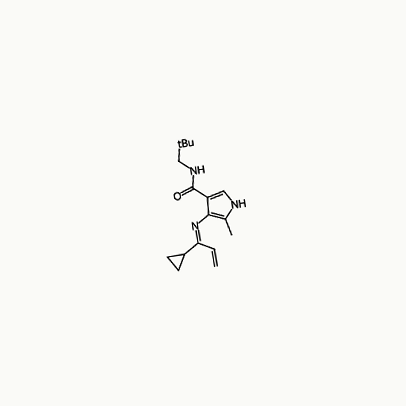 C=C/C(=N\c1c(C(=O)NCC(C)(C)C)c[nH]c1C)C1CC1